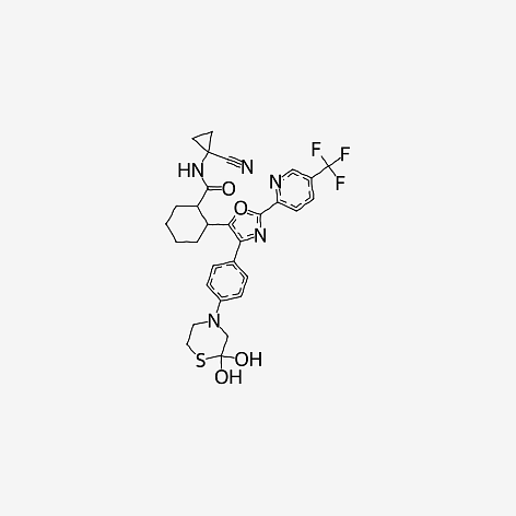 N#CC1(NC(=O)C2CCCCC2c2oc(-c3ccc(C(F)(F)F)cn3)nc2-c2ccc(N3CCSC(O)(O)C3)cc2)CC1